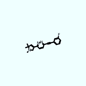 CN1CC(c2ccc(C#Cc3cccc(F)c3)nn2)=CC1(C)C